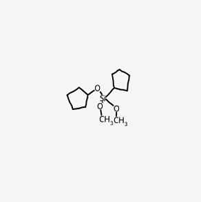 CO[Si](OC)(OC1CCCC1)C1CCCC1